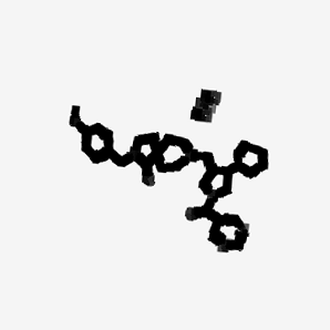 COc1ccc(CN2CCC3(CCN(CC4CN(C(=O)c5cncnc5)CC4c4ccccc4)CC3)C2=O)cc1.Cl.Cl.Cl